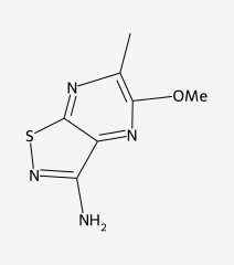 COc1nc2c(N)nsc2nc1C